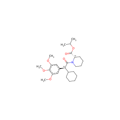 COc1cc([C@@H](C(=O)N2CCCC[C@H]2C(=O)OC(C)C)C2CCCCC2)cc(OC)c1OC